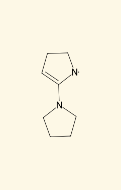 C1=C(N2CCCC2)[N]CC1